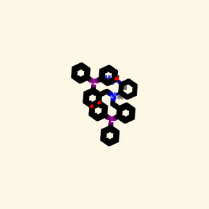 N[C@H]1CCCC[C@@H]1N(Cc1ccccc1P(c1ccccc1)c1ccccc1)Cc1ccccc1P(c1ccccc1)c1ccccc1